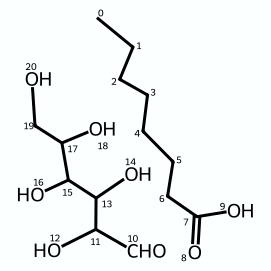 CCCCCCCC(=O)O.O=CC(O)C(O)C(O)C(O)CO